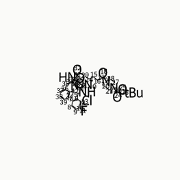 CN(C(=O)NCc1cccc(F)c1Cl)C(CCC(=O)N1CCN(C(=O)OC(C)(C)C)CC1)COC(=O)Nc1cc2ccccc2cn1